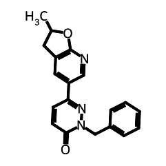 CC1Cc2cc(-c3ccc(=O)n(Cc4ccccc4)n3)cnc2O1